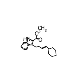 CCOC(=O)c1[nH]c2ccccc2c1CC/C=C/C1CCCCC1